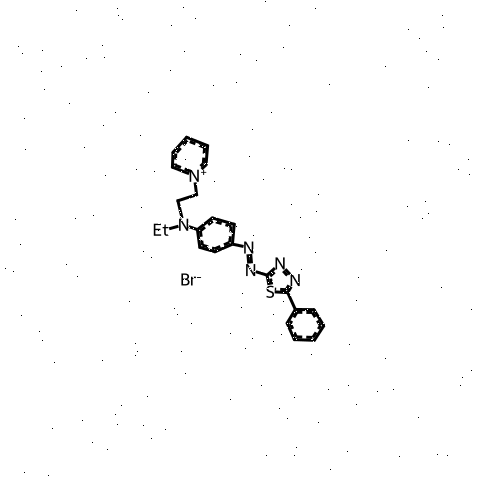 CCN(CC[n+]1ccccc1)c1ccc(/N=N/c2nnc(-c3ccccc3)s2)cc1.[Br-]